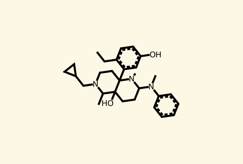 CCc1ccc(O)cc1C12CCN(CC3CC3)C(C)C1(O)CCC(N(C)c1ccccc1)N2C